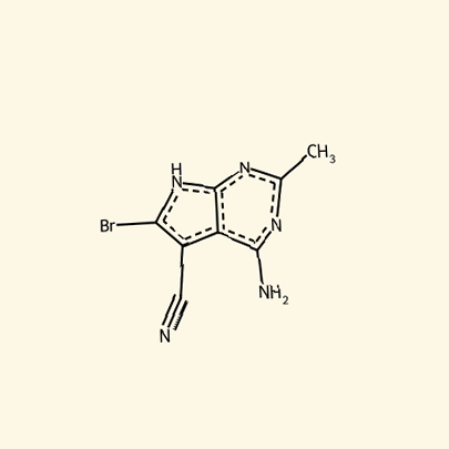 Cc1nc(N)c2c(C#N)c(Br)[nH]c2n1